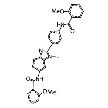 COc1ccccc1C(=O)Nc1ccc(-c2nc3ccc(NC(=O)c4ccccc4OC)cc3n2C)cc1